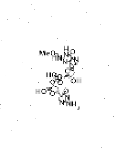 COCNc1nc2c(ncn2[C@H]2CC(O)[C@@H](COP(=O)(O)OC3C[C@H](n4cnc(N)nc4=O)O[C@@H]3CO)O2)c(=O)[nH]1